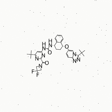 CC(C)(C)c1cc(NC(=O)N[C@H]2CC[C@@H](Oc3ccc4nnc(C(C)(C)C)n4c3)c3ccccc32)nc(C(=O)N2CC(F)(F)C2)n1